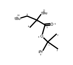 CC(C)C(C)(C)OC(=O)C(C)(CC(C)(C)C)C(C)(C)C